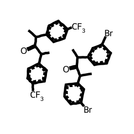 CC(C(=O)C(C)c1ccc(C(F)(F)F)cc1)c1ccc(C(F)(F)F)cc1.CC(C(=O)C(C)c1cccc(Br)c1)c1cccc(Br)c1